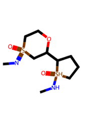 CN=S1(=O)CCOC(C2CCC[SH]2(=O)NC)C1